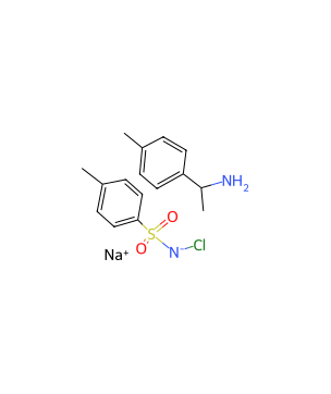 Cc1ccc(C(C)N)cc1.Cc1ccc(S(=O)(=O)[N-]Cl)cc1.[Na+]